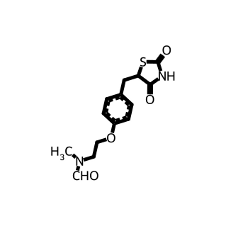 CN(C=O)CCOc1ccc(CC2SC(=O)NC2=O)cc1